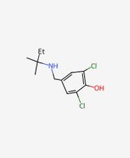 CCC(C)(C)NCc1cc(Cl)c(O)c(Cl)c1